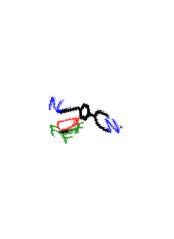 N#Cc1ccc(C2CC[N]CC2)cc1OC(F)(F)F